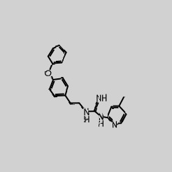 Cc1ccnc(NC(=N)NCCc2ccc(Oc3ccccc3)cc2)c1